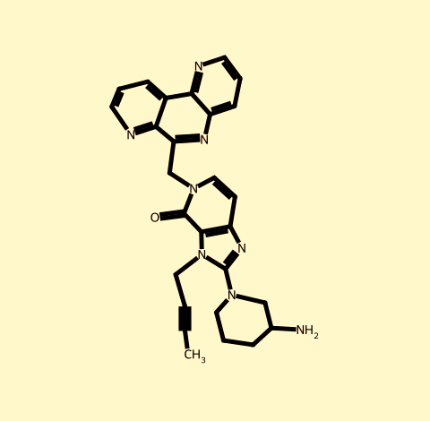 CC#CCn1c(N2CCCC(N)C2)nc2ccn(Cc3nc4cccnc4c4cccnc34)c(=O)c21